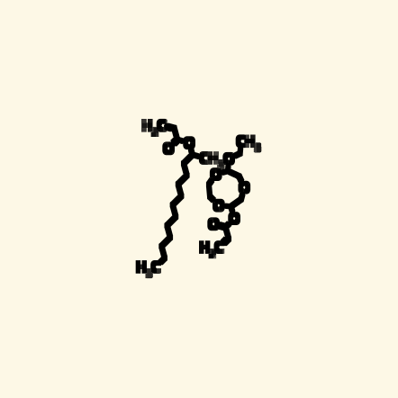 C=CC(=O)OC(C)CCCCCCCCCCC.C=CC(=O)OC1COCC(OCC)OCCO1